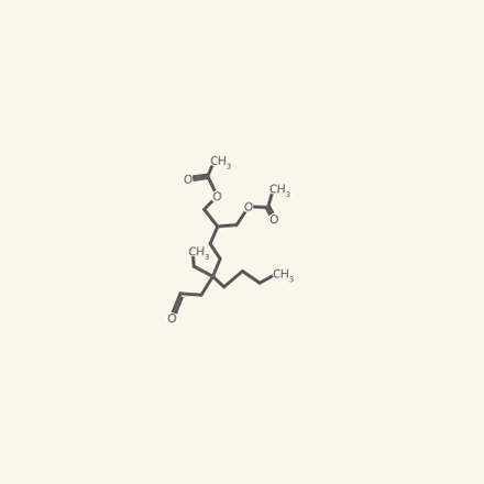 CCCCC(CC)(CC=O)CCC(COC(C)=O)COC(C)=O